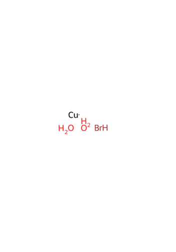 Br.O.O.[Cu]